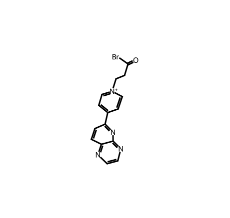 O=C(Br)CC[n+]1ccc(-c2ccc3nccnc3n2)cc1